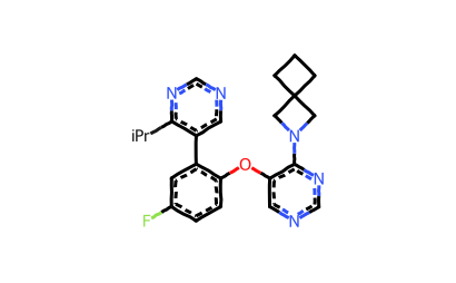 CC(C)c1ncncc1-c1cc(F)ccc1Oc1cncnc1N1CC2(CCC2)C1